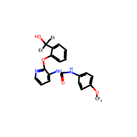 CCC(O)(CC)c1ccccc1Oc1ncccc1NC(=O)Nc1ccc(OC(F)(F)F)cc1